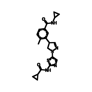 Cc1ccc(C(=O)NC2CC2)cc1C1C=NN(c2cnc(NC(=O)C3CC3)s2)C1